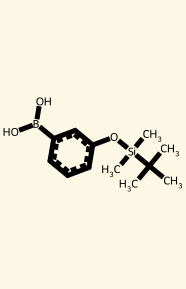 CC(C)(C)[Si](C)(C)Oc1cccc(B(O)O)c1